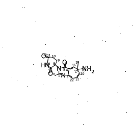 Cc1nc2c(c(=O)n1C1CCC(=O)NC1=O)=CC(C)(N)C=CC=2